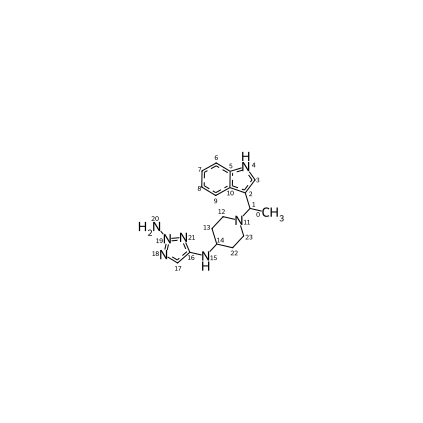 CC(c1c[nH]c2ccccc12)N1CCC(Nc2cnn(N)n2)CC1